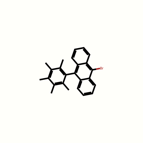 Cc1c(C)c(C)c(-c2c3ccccc3c(Br)c3ccccc23)c(C)c1C